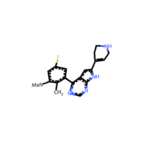 CNc1cc(F)cc(-c2ncnc3[nH]c(C4=CCNCC4)cc23)c1C